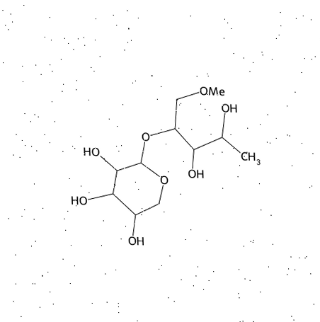 COCC(OC1OCC(O)C(O)C1O)C(O)C(C)O